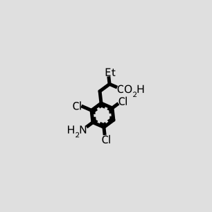 CCC(Cc1c(Cl)cc(Cl)c(N)c1Cl)C(=O)O